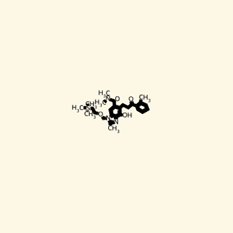 Cc1ccccc1C(=O)CCc1c(C(=O)N(C)C)cc2c(nc(C)n2COCC[Si](C)(C)C)c1O